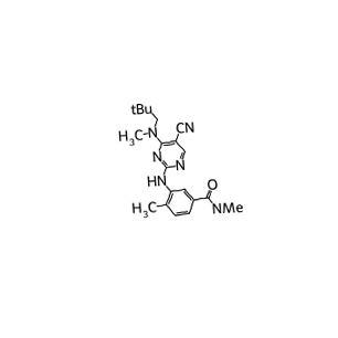 CNC(=O)c1ccc(C)c(Nc2ncc(C#N)c(N(C)CC(C)(C)C)n2)c1